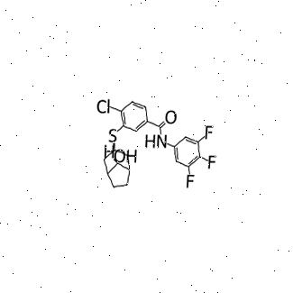 O=C(Nc1cc(F)c(F)c(F)c1)c1ccc(Cl)c(S[C@H]2CC3CCC(C2)[C@@H]3O)c1